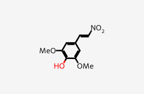 COc1cc(C=C[N+](=O)[O-])cc(OC)c1O